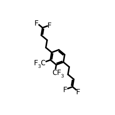 FC(F)=CCCc1ccc(CCC=C(F)F)c(C(F)(F)F)c1C(F)(F)F